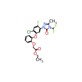 CCOC(=O)COc1ccccc1Oc1cc(-n2nc(C)n(C(F)F)c2=O)c(F)cc1Cl